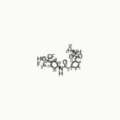 O=C(Cc1cccc(S(=O)(=O)NC2CC2)c1)Nc1ccc(C(O)(C(F)(F)F)C(F)(F)F)cc1